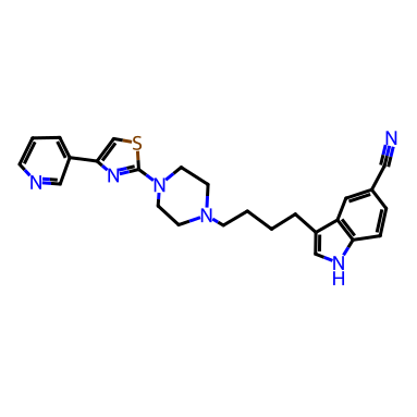 N#Cc1ccc2[nH]cc(CCCCN3CCN(c4nc(-c5cccnc5)cs4)CC3)c2c1